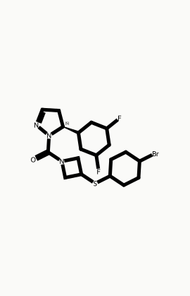 O=C(N1CC(SC2CCC(Br)CC2)C1)N1N=CC[C@H]1C1CC(F)CC(F)C1